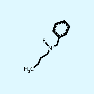 CCCC[N+](F)Cc1ccccc1